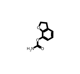 NC(=O)Oc1cccc2c1OCC2